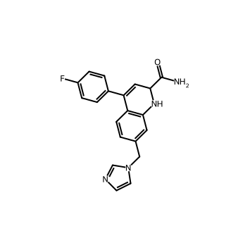 NC(=O)C1C=C(c2ccc(F)cc2)c2ccc(Cn3ccnc3)cc2N1